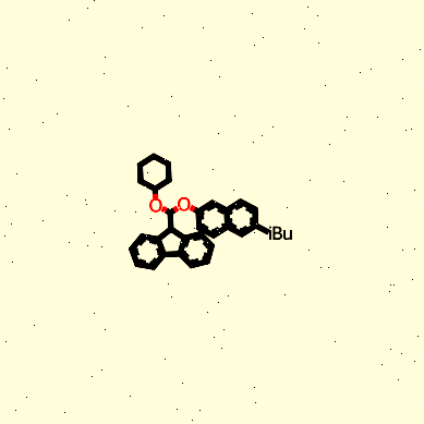 CCC(C)c1ccc2cc(OC(OC3CCCCC3)C3c4ccccc4-c4ccccc43)ccc2c1